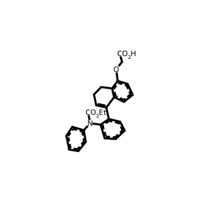 CCOC(=O)N(c1ccccc1)c1ccccc1C1=CCCc2c(OCC(=O)O)cccc21